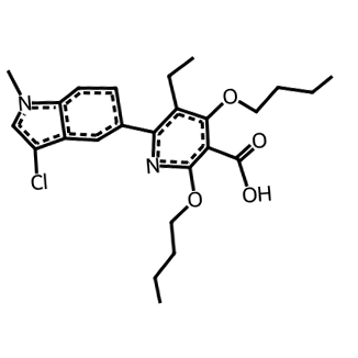 CCCCOc1nc(-c2ccc3c(c2)c(Cl)cn3C)c(CC)c(OCCCC)c1C(=O)O